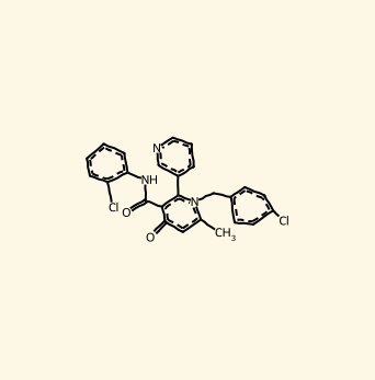 Cc1cc(=O)c(C(=O)Nc2ccccc2Cl)c(-c2cccnc2)n1Cc1ccc(Cl)cc1